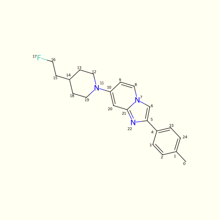 Cc1ccc(-c2cn3ccc(N4CCC(CCF)CC4)cc3n2)cc1